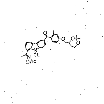 CCn1c2ccc(C(=O)c3ccc(OCC4CCOC(C)(C)O4)cc3C)cc2c2cccc(C(C)=NOC(C)=O)c21